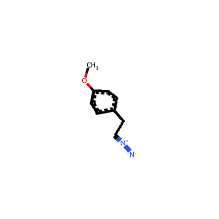 COc1ccc(CC=[N+]=[N-])cc1